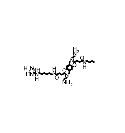 CCCCNC(=O)CCC(=O)N(CCN)Cc1ccc(CN(CCN)C(=O)CCC(=O)NCCCCCCNC(=N)NN)cc1